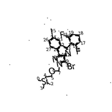 C[Si](C)(C)CCOCn1nc2c(nc(-c3c(F)cccc3F)c3cc(I)ccc32)c1Br